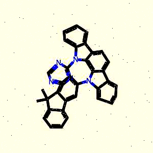 CC1(C)c2ccccc2-c2cc(-n3c4ccccc4c4ccc5c6ccccc6n(-c6ncncn6)c5c43)ccc21